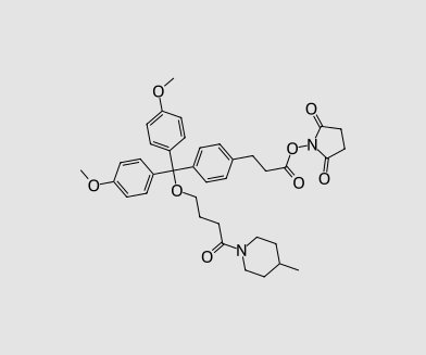 COc1ccc(C(OCCCC(=O)N2CCC(C)CC2)(c2ccc(CCC(=O)ON3C(=O)CCC3=O)cc2)c2ccc(OC)cc2)cc1